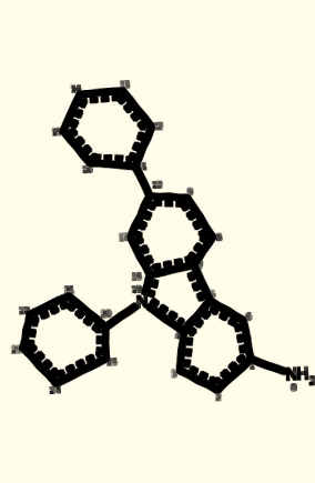 Nc1ccc2c(c1)c1ccc(-c3ccccc3)cc1n2-c1ccccc1